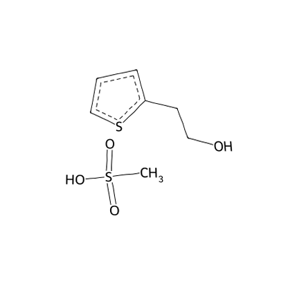 CS(=O)(=O)O.OCCc1cccs1